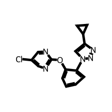 Clc1cnc(Oc2ccccc2-n2cc(C3CC3)nn2)nc1